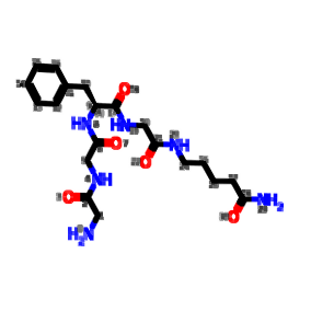 NCC(=O)NCC(=O)N[C@@H](Cc1ccccc1)C(=O)NCC(=O)NCCCCC(N)=O